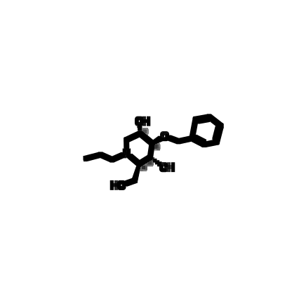 CCCN1C[C@H](O)[C@@H](OCc2ccccc2)[C@H](O)[C@H]1CO